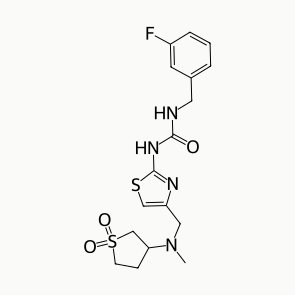 CN(Cc1csc(NC(=O)NCc2cccc(F)c2)n1)C1CCS(=O)(=O)C1